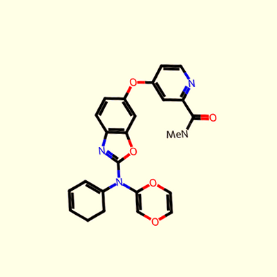 CNC(=O)c1cc(Oc2ccc3nc(N(C4=CC=CCC4)C4=COC=CO4)oc3c2)ccn1